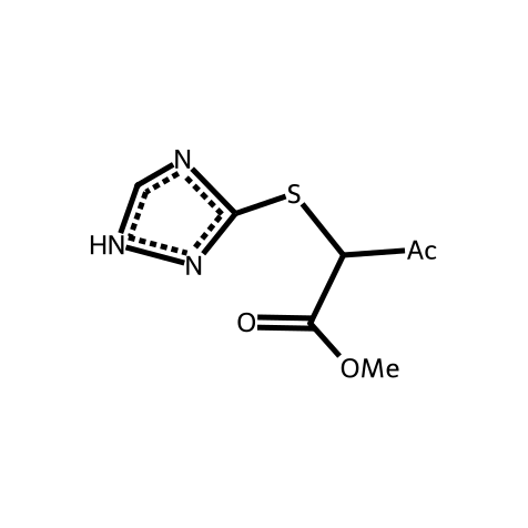 COC(=O)C(Sc1nc[nH]n1)C(C)=O